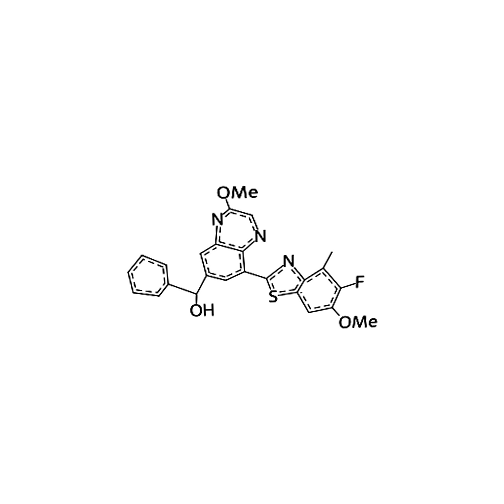 COc1cnc2c(-c3nc4c(C)c(F)c(OC)cc4s3)cc(C(O)c3ccccc3)cc2n1